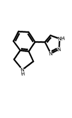 c1cc2c(c(-c3c[nH]nn3)c1)CNC2